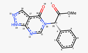 COC(=O)[C@H](c1ccccc1)n1cnc2[nH]ncc2c1=O